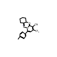 Cc1ccc(-c2cc(C(F)(F)F)c(C#N)c(=O)n2/N=C2/CCCCC2C)cc1